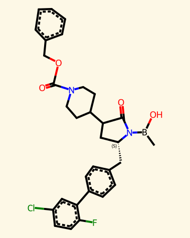 CB(O)N1C(=O)C(C2CCN(C(=O)OCc3ccccc3)CC2)C[C@H]1Cc1ccc(-c2cc(Cl)ccc2F)cc1